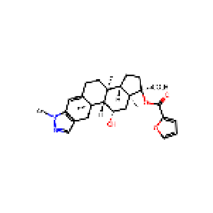 CC(=O)n1ncc2c1C=C1CC[C@@H]3[C@H]([C@@H](O)C[C@@]4(C)[C@H]3CC[C@]4(OC(=O)c3ccco3)C(=O)O)[C@@]1(C)C2